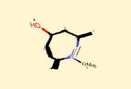 C=C1CC(O)CC(=C)N1OC